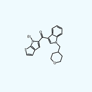 CCn1c(C(=O)c2cn(CC3CCOCC3)c3ccccc23)cc2ccsc21